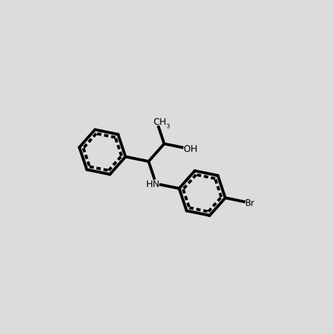 CC(O)C(Nc1ccc(Br)cc1)c1ccccc1